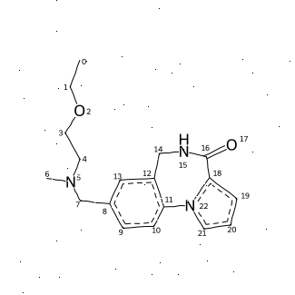 CCOCCN(C)Cc1ccc2c(c1)CNC(=O)c1cccn1-2